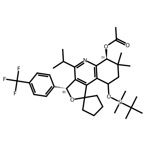 CC(=O)O[C@@H]1c2nc(C(C)C)c3c(c2C(O[Si](C)(C)C(C)(C)C)CC1(C)C)C1(CCCC1)O[C@@H]3c1ccc(C(F)(F)F)cc1